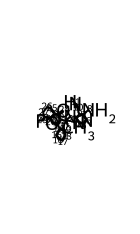 CC(Nc1ncnc(N)c1C#N)c1c(-c2ccccc2)oc2c(c1=O)=CCCC=2F